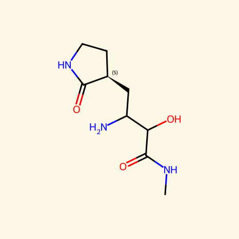 CNC(=O)C(O)C(N)C[C@@H]1CCNC1=O